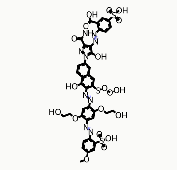 COc1ccc(/N=N/c2cc(OCCO)c(/N=N/c3c(SOOO)cc4cc(-n5nc(C(N)=O)c(/N=N/c6ccc(S(=O)(=O)O)cc6C(=O)O)c5O)ccc4c3O)cc2OCCO)c(S(=O)(=O)O)c1